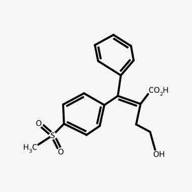 CS(=O)(=O)c1ccc(C(=C(CCO)C(=O)O)c2ccccc2)cc1